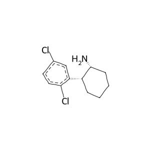 N[C@@H]1CCCC[C@@H]1c1cc(Cl)ccc1Cl